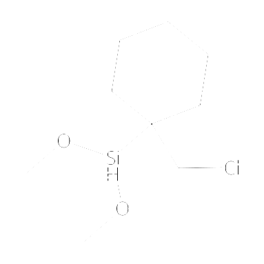 CO[SiH](OC)C1(CCl)CCCCC1